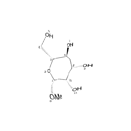 CO[C@@H]1O[C@H](CO)[C@@H](O)[C@H](O)[C@@H]1O